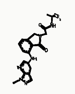 C[C@H](NC(=O)CN1Cc2cccc(Nc3cnc4c(cnn4C)c3)c2C1=O)C(F)(F)F